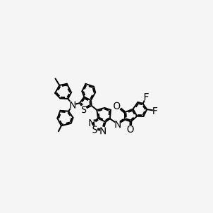 Cc1ccc(N(c2ccc(C)cc2)c2sc(-c3ccc(N=c4c(=O)c5cc(F)c(F)cc5c4=O)c4nsnc34)c3ccccc23)cc1